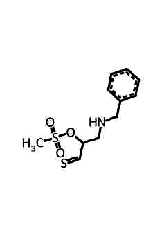 CS(=O)(=O)OC(C=S)CNCc1ccccc1